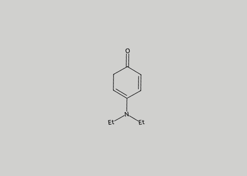 CCN(CC)C1=CCC(=O)C=C1